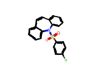 O=S(=O)(c1ccc(Cl)cc1)N1c2ccccc2C=Cc2ccccc21